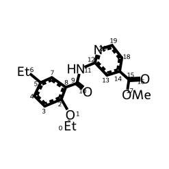 CCOc1ccc(CC)cc1C(=O)Nc1cc(C(=O)OC)ccn1